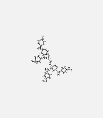 COc1ccc(Nc2ccc(OCCOc3ccc(Nc4ccc(C)cc4)cc3Nc3ccc(C)cc3)c(Nc3ccc(OC)cc3)c2)cc1